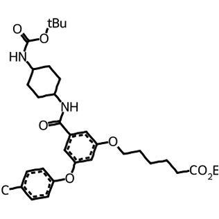 CCOC(=O)CCCCCOc1cc(Oc2ccc(C#N)cc2)cc(C(=O)NC2CCC(NC(=O)OC(C)(C)C)CC2)c1